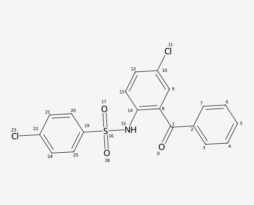 O=C(c1ccccc1)c1cc(Cl)ccc1NS(=O)(=O)c1ccc(Cl)cc1